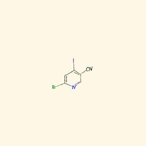 N#Cc1cnc(Br)cc1I